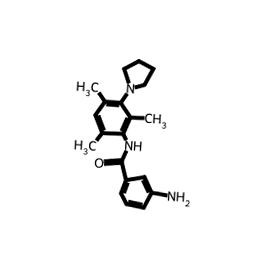 Cc1cc(C)c(N2CCCC2)c(C)c1NC(=O)c1cccc(N)c1